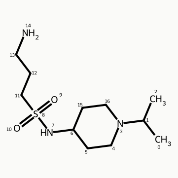 CC(C)N1CCC(NS(=O)(=O)CCCN)CC1